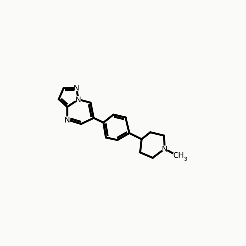 CN1CCC(c2ccc(-c3cnc4ccnn4c3)cc2)CC1